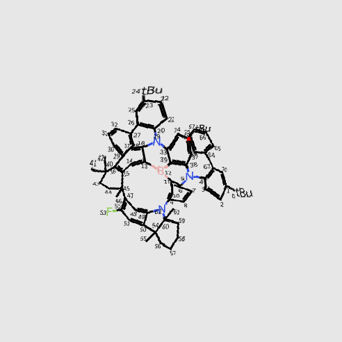 CC(C)(C)c1ccc(N2c3ccc4cc3B3c5cc6c(cc5N(c5ccc(C(C)(C)C)cc5-c5ccccc5)c5cc(C(C)(C)C)cc2c53)C(C)(C)CCC6(C)c2cc3c(cc2F)C2(C)CCCCC2(C)N43)c(-c2ccccc2)c1